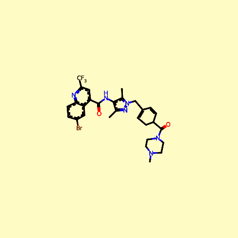 Cc1nn(CC2=CCC(C(=O)N3CCN(C)CC3)C=C2)c(C)c1NC(=O)c1cc(C(F)(F)F)nc2ccc(Br)cc12